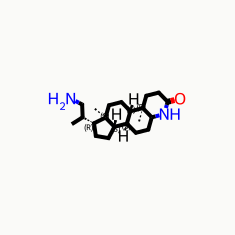 CC(CN)[C@H]1CC[C@H]2[C@@H]3CCC4NC(=O)CC[C@]4(C)[C@H]3CC[C@]12C